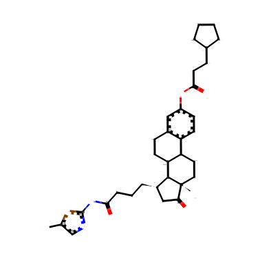 Cc1cnc(NC(=O)CCC[C@@H]2CC(=O)[C@@]3(C)CCC4c5ccc(OC(=O)CCC6CCCC6)cc5CCC4C23)s1